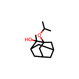 CC(C)OC12CC3CC(CC(C3)C1(C)O)C2